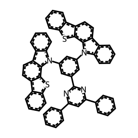 c1ccc(-c2cc(-c3ccccc3)nc(-c3cc(-n4c5ccccc5c5ccc6c7ccccc7sc6c54)cc(-n4c5ccccc5c5ccc6c7ccccc7sc6c54)c3)n2)cc1